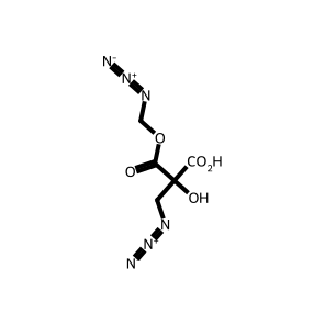 [N-]=[N+]=NCOC(=O)C(O)(CN=[N+]=[N-])C(=O)O